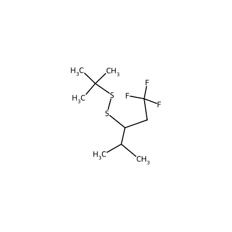 CC(C)C(CC(F)(F)F)SSC(C)(C)C